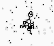 C=CCONC(CCC)=C1C(=O)CC(C2CCOCC2)CC1=O